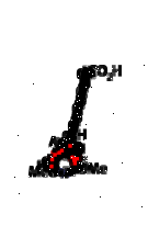 COc1cc2cc(c1Cl)N(C)C(=O)C[C@@](OC(=O)[C@H](C)N(C)C(C)=O)(C(OC(=O)NCC(=O)NCCOCCOCCOCCOCCOCCOCCC(=O)N(C)C(C)C(=O)O)C1c3ccccc3-c3ccccc31)[C@]1(C)O[C@H]1[C@H](C)[C@@H]1C[C@@](O)(NC(=O)O1)C(OC)/C=C/C=C(\C)C2